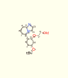 CC(C)(C)Oc1ccc(-c2cccc3nccn23)c(OCCO)c1